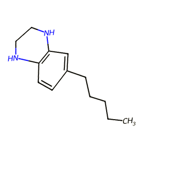 CCCCCc1ccc2c(c1)NCCN2